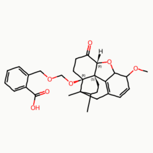 COC1C=CC2=C3C1O[C@H]1C(=O)CC[C@@]4(OCOCc5ccccc5C(=O)O)C(C)(C2)C(C)CC[C@]314